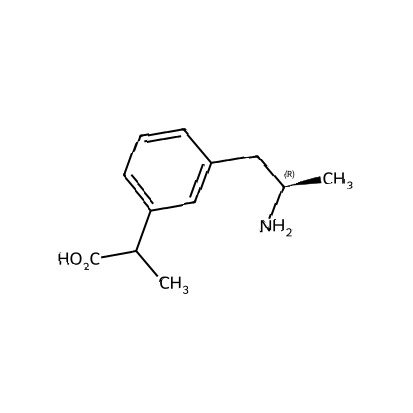 CC(C(=O)O)c1cccc(C[C@@H](C)N)c1